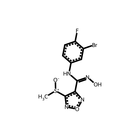 C[S+]([O-])c1nonc1/C(=N\O)Nc1ccc(F)c(Br)c1